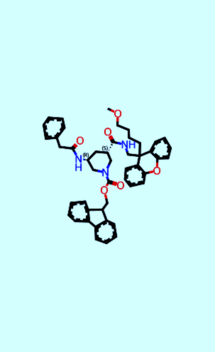 COCCCCC1(CNC(=O)[C@H]2C[C@@H](NC(=O)Cc3ccccc3)CN(C(=O)OCC3c4ccccc4-c4ccccc43)C2)c2ccccc2Oc2ccccc21